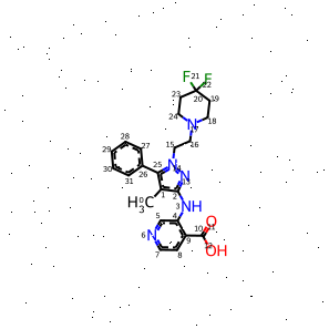 Cc1c(Nc2cnccc2C(=O)O)nn(CCN2CCC(F)(F)CC2)c1-c1ccccc1